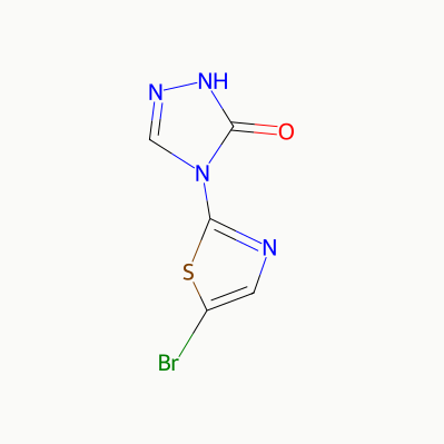 O=c1[nH]ncn1-c1ncc(Br)s1